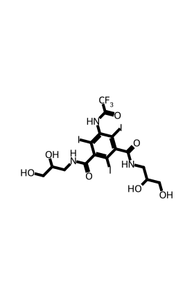 O=C(NCC(O)CO)c1c(I)c(NC(=O)C(F)(F)F)c(I)c(C(=O)NCC(O)CO)c1I